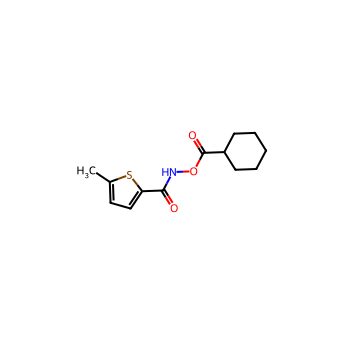 Cc1ccc(C(=O)NOC(=O)C2CCCCC2)s1